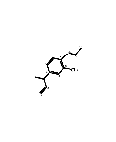 [CH2]C(C=C)c1ccc(OCC)c(Cl)c1